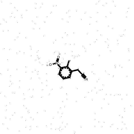 Cc1c(CC#N)cccc1[N+](=O)[O-]